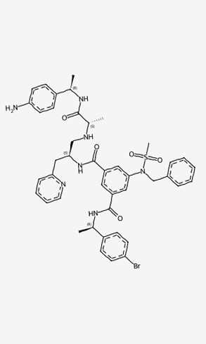 C[C@H](NC[C@H](Cc1ccccn1)NC(=O)c1cc(C(=O)N[C@H](C)c2ccc(Br)cc2)cc(N(Cc2ccccc2)S(C)(=O)=O)c1)C(=O)N[C@H](C)c1ccc(N)cc1